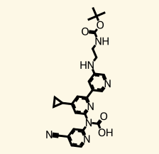 CC(C)(C)OC(=O)NCCNc1cncc(-c2cc(C3CC3)cc(N(C(=O)O)c3cc(C#N)ccn3)n2)c1